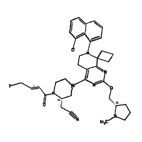 CN1CCC[C@H]1COc1nc(N2CCN(C(=O)/C=C/CF)[C@@H](CC#N)C2)c2c(n1)C1(CCC1)N(c1cccc3cccc(Cl)c13)CC2